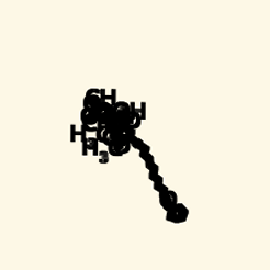 COc1ccc(-c2oc3c(OC)c(OC)c(C#CCCCCCCCCCCOCc4ccccc4)cc3c(=O)c2O)cc1OC